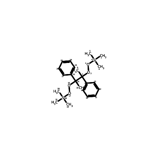 CC(OO[Si](C)(C)C)(c1ccccc1)C(C)(OO[Si](C)(C)C)c1ccccc1